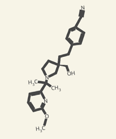 COc1cccc(C(C)(C)N2CC[C@](CO)(CCc3ccc(C#N)cc3)C2)n1